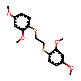 COc1ccc(SCCSc2ccc(OC)cc2OC)c(OC)c1